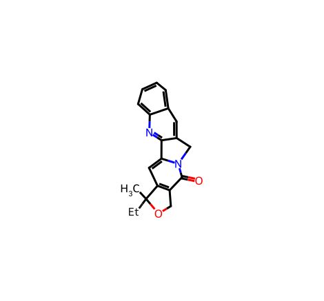 CCC1(C)OCc2c1cc1n(c2=O)Cc2cc3ccccc3nc2-1